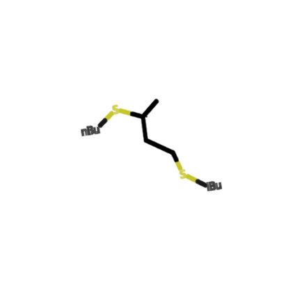 CCCCS[C](C)CCSC(C)CC